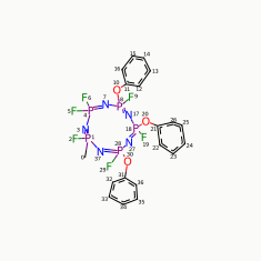 CP1(F)=NP(F)(F)=NP(F)(Oc2ccccc2)=NP(F)(Oc2ccccc2)=NP(F)(Oc2ccccc2)=N1